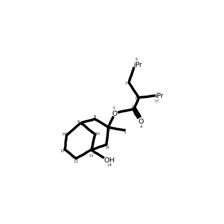 CC(C)CC(C(=O)OC1(C)CC2CCCC(O)(C2)C1)C(C)C